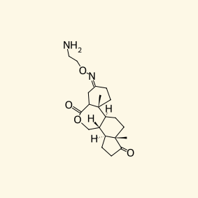 C[C@]12CC/C(=N/OCCN)CC1C(=O)OC[C@@H]1[C@@H]2CC[C@]2(C)C(=O)CC[C@@H]12